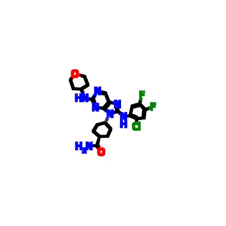 NC(=O)[C@H]1CC[C@H](n2c(Nc3cc(F)c(F)cc3Cl)nc3cnc(NC4CCOCC4)nc32)CC1